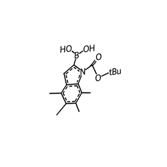 Cc1c(C)c(C)c2c(cc(B(O)O)n2C(=O)OC(C)(C)C)c1C